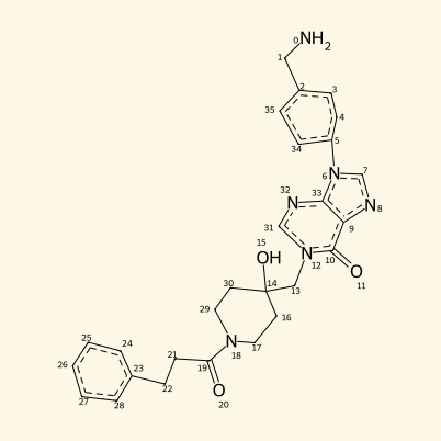 NCc1ccc(-n2cnc3c(=O)n(CC4(O)CCN(C(=O)CCc5ccccc5)CC4)cnc32)cc1